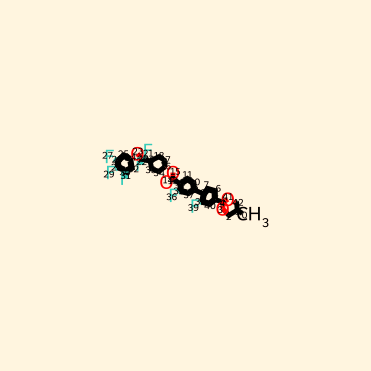 CC1COC(c2ccc(-c3ccc(C(=O)OC4CCC(C(F)(F)Oc5cc(F)c(F)c(F)c5)CC4)c(F)c3)c(F)c2)OC1